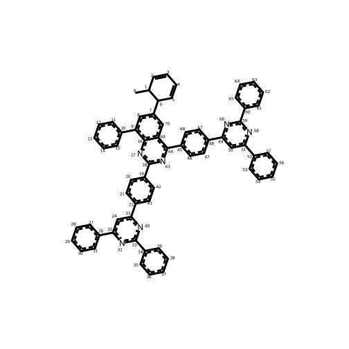 CC1C=CC=CC1c1cc(-c2ccccc2)c2nc(-c3ccc(-c4cc(-c5ccccc5)nc(-c5ccccc5)n4)cc3)nc(-c3ccc(-c4cc(-c5ccccc5)nc(-c5ccccc5)n4)cc3)c2c1